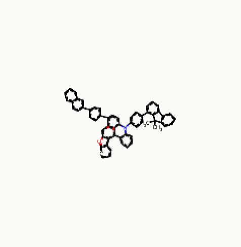 CC1(C)c2ccccc2-c2cccc(-c3ccc(N(c4ccc(-c5ccc(-c6ccc7ccccc7c6)cc5)cc4)c4ccccc4-c4cccc5oc6ccccc6c45)cc3)c21